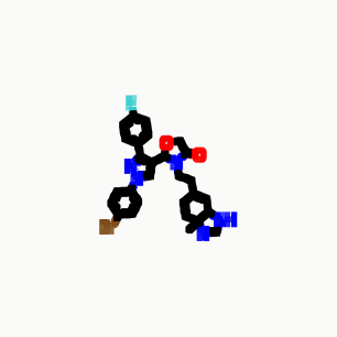 CC12C=CC(CCN3C(=O)COC3c3cn(-c4ccc(Br)cc4)nc3-c3ccc(F)cc3)=CC1NC=N2